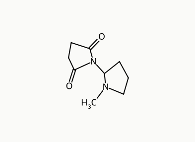 CN1CCCC1N1C(=O)CCC1=O